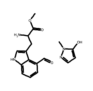 COC(=O)C(N)Cc1c[nH]c2cccc(C=O)c12.Cn1nccc1O